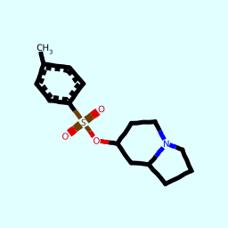 Cc1ccc(S(=O)(=O)OC2CCN3CCCC3C2)cc1